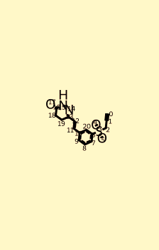 C#CCS(=O)(=O)c1cccc(C=CC2=NNC(=O)CC2)c1